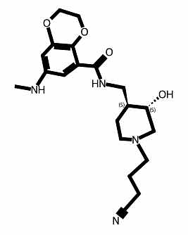 CNc1cc2c(c(C(=O)NC[C@@H]3CCN(CCCC#N)C[C@H]3O)c1)OCCO2